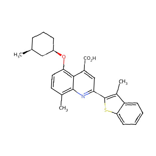 Cc1c(-c2cc(C(=O)O)c3c(O[C@@H]4CCC[C@H](C)C4)ccc(C)c3n2)sc2ccccc12